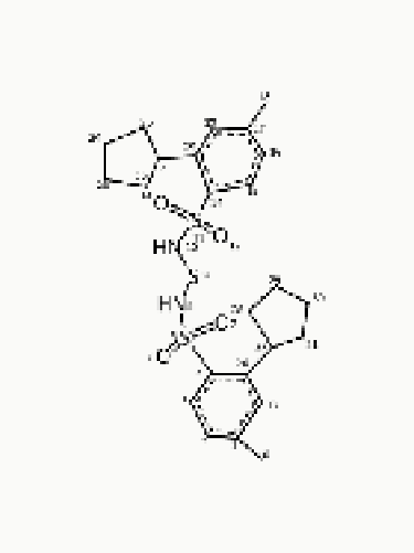 Cc1ccc(S(=O)(=O)NSNS(=O)(=O)c2ccc(C)cc2C2CCCC2)c(C2CCCC2)c1